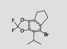 CC(C)c1c(Br)c2c(c3c1OC(F)(F)O3)CCC2